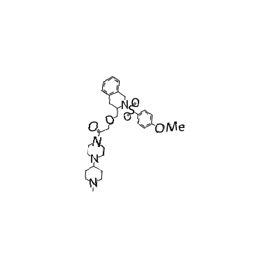 COc1ccc(S(=O)(=O)N2Cc3ccccc3CC2COCC(=O)N2CCN(C3CCN(C)CC3)CC2)cc1